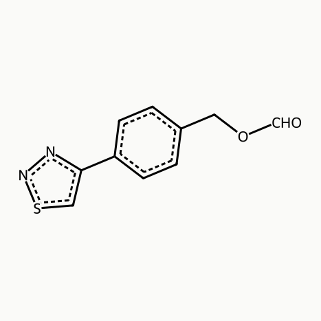 O=COCc1ccc(-c2csnn2)cc1